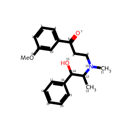 COc1cccc(C(=O)CCN(C)C(C)C(O)c2ccccc2)c1